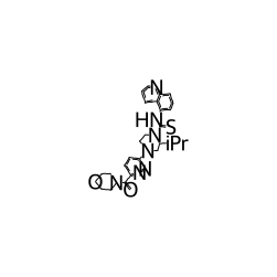 CC(C)C1CN(c2ccc(C(=O)N3CCOCC3)nn2)CCN1C(=S)Nc1cccc2ncccc12